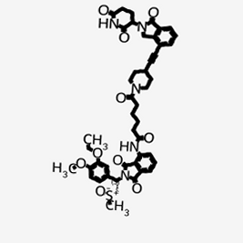 CCOc1cc([C@@H](C[S+](C)[O-])N2C(=O)c3cccc(NC(=O)CCCCC(=O)N4CCC(C#Cc5cccc6c5CN(C5CCC(=O)NC5=O)C6=O)CC4)c3C2=O)ccc1OC